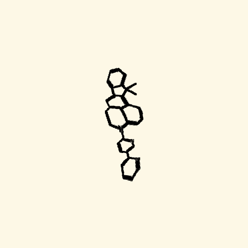 CC1(C)c2ccccc2-c2cc3c4c(cccc4c21)N(c1ccc(-c2ccccn2)cn1)C=C3